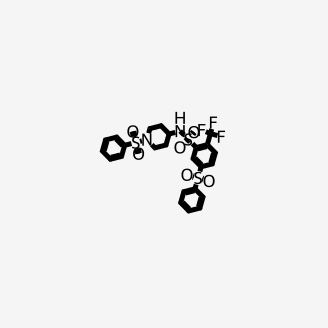 O=S(=O)(NC1CCN(S(=O)(=O)c2ccccc2)CC1)c1cc(S(=O)(=O)c2ccccc2)ccc1C(F)(F)F